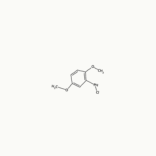 COc1ccc(OC)c(PCl)c1